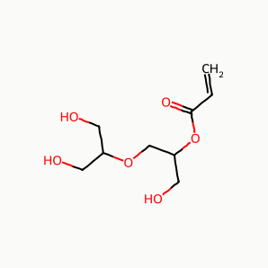 C=CC(=O)OC(CO)COC(CO)CO